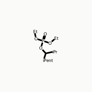 CCCC(C)C(OP(=O)(OCC)OCC)C(C)C